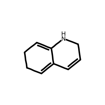 C1=CC2=CCCC=C2NC1